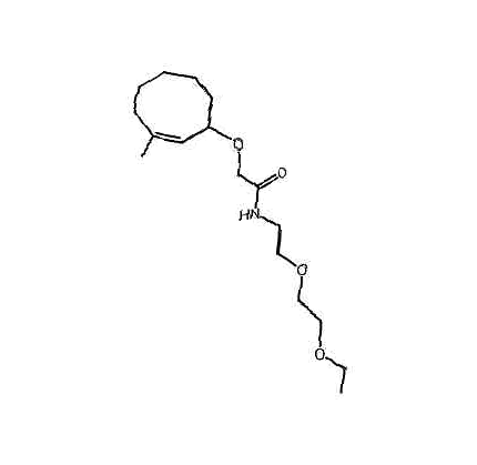 CCOCCOCCNC(=O)COC1/C=C(/C)CCCCC1